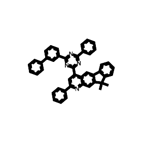 CC1(C)c2ccccc2-c2cc3c(-c4nc(-c5ccccc5)nc(-c5cccc(-c6ccccc6)c5)n4)cc(-c4ccccc4)nc3cc21